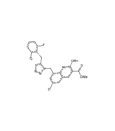 COC(=O)c1cc2cc(Cl)cc(Cn3nncc3Cc3c(F)cccc3Cl)c2nc1OC